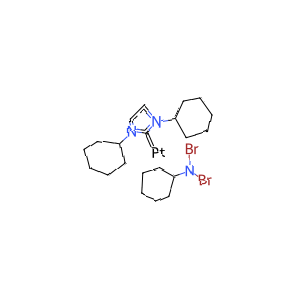 BrN(Br)C1CCCCC1.[Pt]=[c]1n(C2CCCCC2)ccn1C1CCCCC1